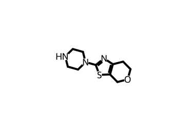 C1CN(c2nc3c(s2)COCC3)CCN1